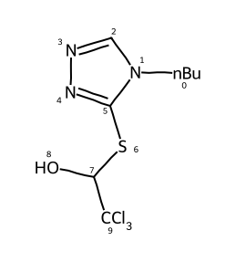 CCCCn1cnnc1SC(O)C(Cl)(Cl)Cl